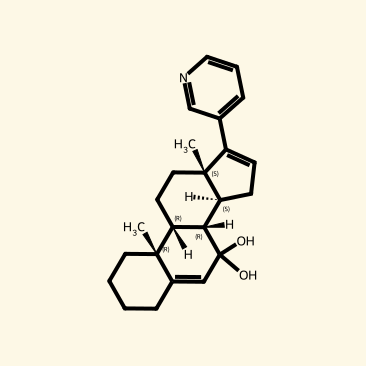 C[C@]12CCCCC1=CC(O)(O)[C@@H]1[C@H]2CC[C@]2(C)C(c3cccnc3)=CC[C@@H]12